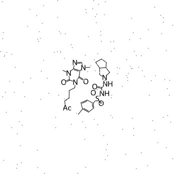 CC(=O)CCCCn1c(=O)c2c(ncn2C)n(C)c1=O.Cc1ccc(S(=O)(=O)NC(=O)NN2CC3CCCC3C2)cc1